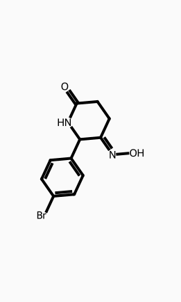 O=C1CCC(=NO)C(c2ccc(Br)cc2)N1